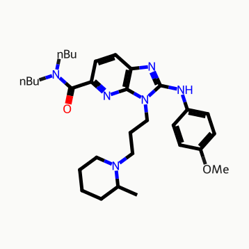 CCCCN(CCCC)C(=O)c1ccc2nc(Nc3ccc(OC)cc3)n(CCCN3CCCCC3C)c2n1